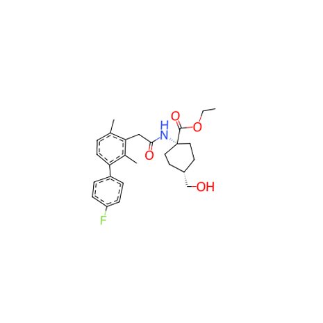 CCOC(=O)[C@]1(NC(=O)Cc2c(C)ccc(-c3ccc(F)cc3)c2C)CC[C@@H](CO)CC1